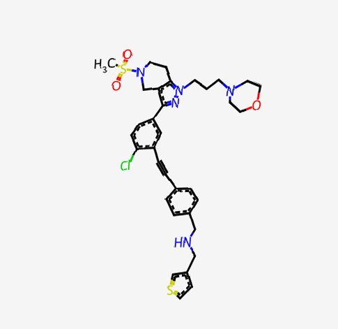 CS(=O)(=O)N1CCc2c(c(-c3ccc(Cl)c(C#Cc4ccc(CNCc5ccsc5)cc4)c3)nn2CCCN2CCOCC2)C1